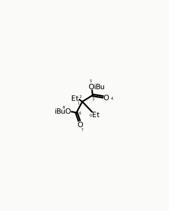 CCC(CC)(C(=O)OCC(C)C)C(=O)OCC(C)C